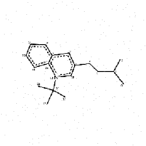 CC(C)CCc1cc2ccccc2[n+](C(C)(C)C)c1